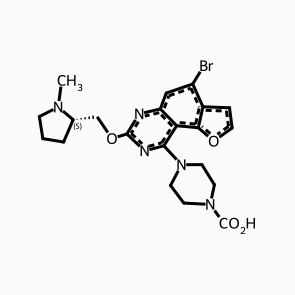 CN1CCC[C@H]1COc1nc(N2CCN(C(=O)O)CC2)c2c(cc(Br)c3ccoc32)n1